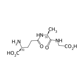 C[C@H](NC(=O)CC[C@H](N)C(=O)O)C(=O)NCC(=O)O